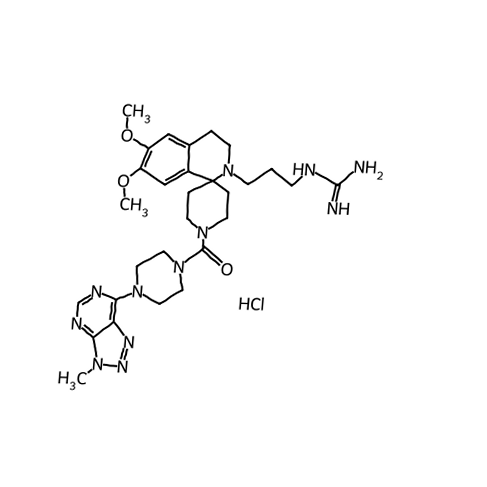 COc1cc2c(cc1OC)C1(CCN(C(=O)N3CCN(c4ncnc5c4nnn5C)CC3)CC1)N(CCCNC(=N)N)CC2.Cl